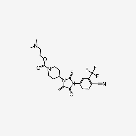 C=C1C(=O)N(c2ccc(C#N)c(C(F)(F)F)c2)C(=S)N1C1CCN(C(=O)OCCN(C)C)CC1